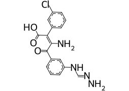 NN=CNc1cccc(C(=O)C(N)=C(C(=O)O)c2cccc(Cl)c2)c1